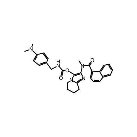 CN(C)c1ccc(CNC(=O)Oc2c(N(C)C(=O)c3cccc4ccccc34)nc3n2CCCC3)cc1